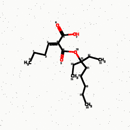 CCCC=C(C(=O)O)C(=O)OC(CC)(CC)CCCCC